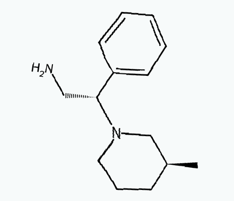 C[C@H]1CCCN([C@H](CN)c2ccccc2)C1